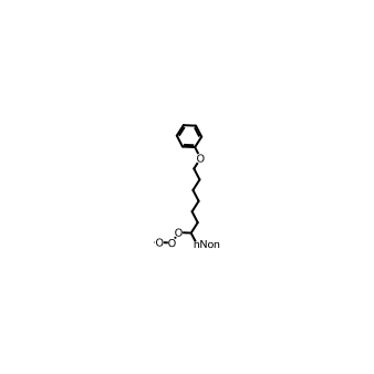 CCCCCCCCCC(CCCCCCOc1ccccc1)OO[O]